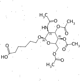 CC(=O)N[C@H]1C(OC(C)=O)[C@@H](OC(C)=O)C(COC(C)=O)O[C@H]1OCCCCCC(=O)O